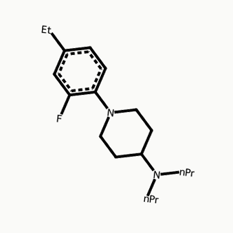 CCCN(CCC)C1CCN(c2ccc(CC)cc2F)CC1